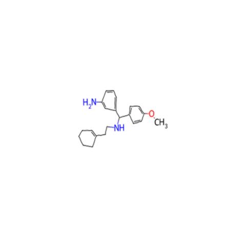 COc1ccc(C(NCCC2=CCCCC2)c2cccc(N)c2)cc1